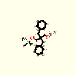 CCCOCC(CO[Si](C)(C)CCC)(Cc1ccccc1)Cc1ccccc1